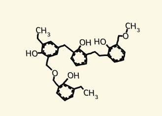 CCc1cccc(COCc2cc(Cc3cccc(CCc4cccc(COC)c4O)c3O)cc(CC)c2O)c1O